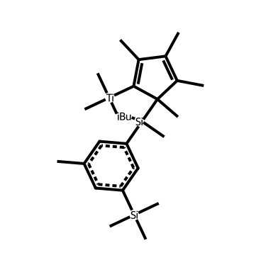 CCC(C)[Si](C)(c1cc(C)cc([Si](C)(C)C)c1)C1(C)C(C)=C(C)C(C)=[C]1[Ti]([CH3])([CH3])[CH3]